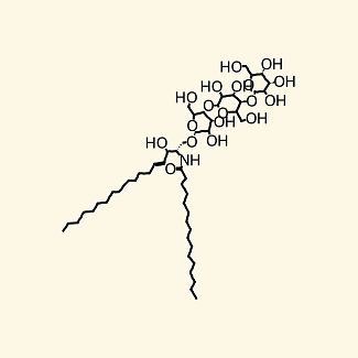 CCCCCCCCCCCCC/C=C/[C@@H](O)[C@H](CO[C@@H]1OC(CO)[C@@H](O[C@@H]2OC(CO)[C@H](O[C@@H]3OC(CO)[C@H](O)[C@H](O)C3O)[C@H](O)C2O)[C@H](O)C1O)NC(=O)CCCCCCCCCCCCCCC